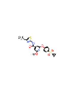 CC(C)Oc1cc(C(=O)Nc2nc(CC(=O)O)cs2)cc(Oc2ccc(S(=O)(=O)C3CC3)cc2)n1